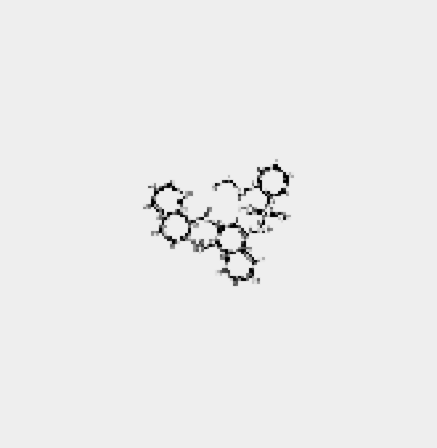 CCOc1ccccc1S(=O)(=O)Nc1cc(Sc2cccc3cccnc23)c(O)c2ccccc12